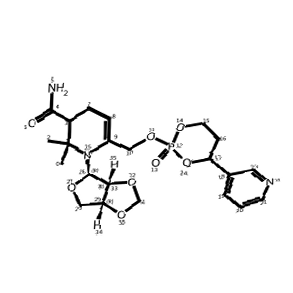 CC1(C)C(C(N)=O)CC=C(COP2(=O)OCCC(c3cccnc3)O2)N1[C@@H]1OC[C@H]2OCO[C@@H]12